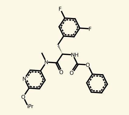 CC(C)Oc1ccc(N(C)C(=O)[C@H](Cc2cc(F)cc(F)c2)NC(=O)Oc2ccccc2)cn1